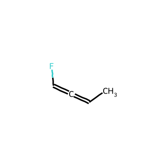 CC=C=CF